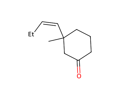 CC/C=C\C1(C)CCCC(=O)C1